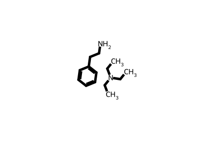 CCN(CC)CC.NCCc1ccccc1